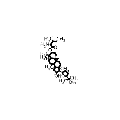 CCC(C)[C@@H](N)C(=O)O[C@H]1CC[C@]23CC24CC[C@]2(C)[C@@H](C5CC[C@@H](C(C)(C)O)O5)[C@@H](O)C[C@@]2(C)C4CC[C@H]3C1(C)C